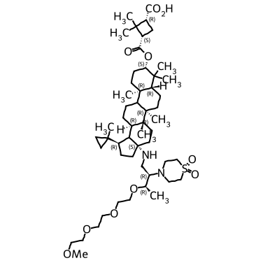 COCCOCCOCCO[C@H](C)[C@@H](CN[C@]12CC[C@@H](C3(C)CC3)C1[C@H]1CCC3[C@@]4(C)CC[C@H](OC(=O)[C@H]5C[C@@H](C(=O)O)C5(C)C)C(C)(C)[C@@H]4CC[C@@]3(C)[C@]1(C)CC2)N1CCS(=O)(=O)CC1